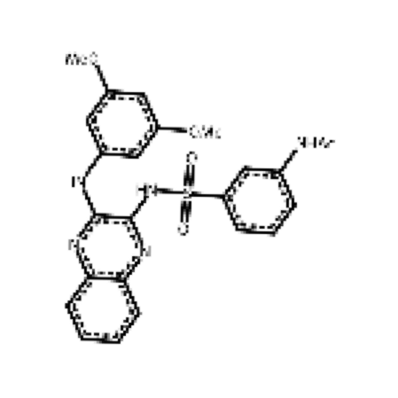 COc1cc(Nc2nc3ccccc3nc2NS(=O)(=O)c2cccc(NC(C)=O)c2)cc(OC)c1